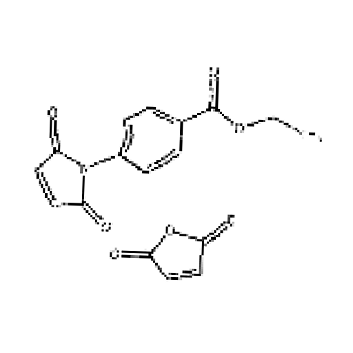 CCOC(=O)c1ccc(N2C(=O)C=CC2=O)cc1.O=C1C=CC(=O)O1